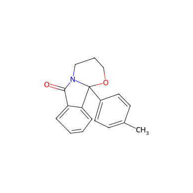 Cc1ccc(C23OCCCN2C(=O)c2ccccc23)cc1